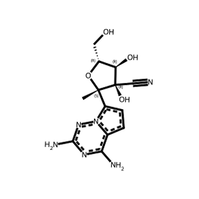 C[C@@]1(c2ccc3c(N)nc(N)nn23)O[C@H](CO)[C@@H](O)[C@]1(O)C#N